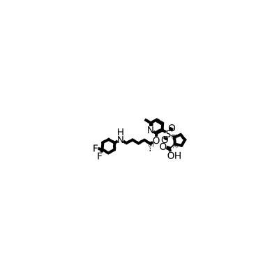 Cc1ccc(S(=O)(=O)[C@@H]2CCC[C@H]2C(=O)O)c(O[C@H](C)CCCCNC2CCC(F)(F)CC2)n1